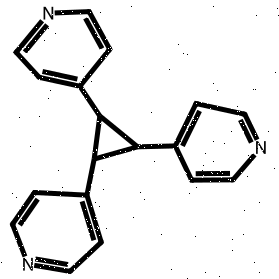 c1cc(C2C(c3ccncc3)C2c2ccncc2)ccn1